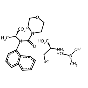 CB(O)O.CC(C)C[C@H](N)C(=O)O.C[C@@H](C(=O)O)N(C(=O)N1CCOCC1)c1cccc2ccccc12